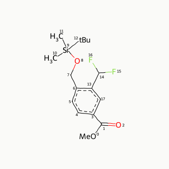 COC(=O)c1ccc(CO[Si](C)(C)C(C)(C)C)c(C(F)F)c1